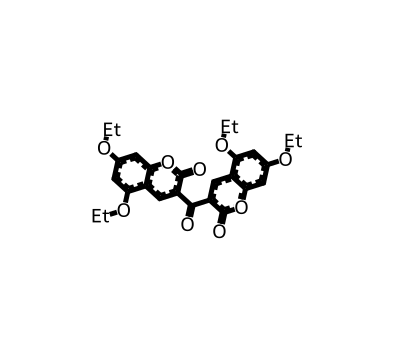 CCOc1cc(OCC)c2cc(C(=O)c3cc4c(OCC)cc(OCC)cc4oc3=O)c(=O)oc2c1